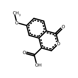 COc1ccc2c(=O)occ(C(=O)O)c2c1